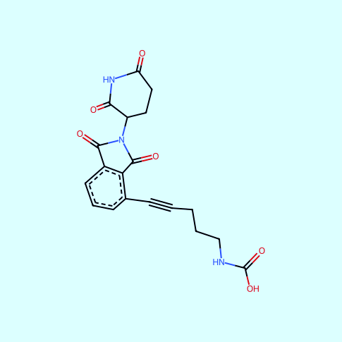 O=C(O)NCCCC#Cc1cccc2c1C(=O)N(C1CCC(=O)NC1=O)C2=O